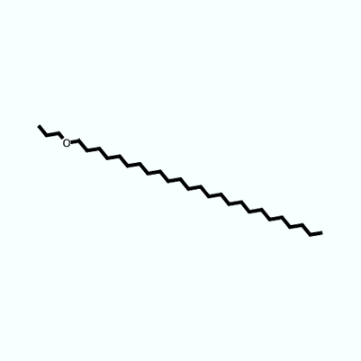 CCCCCCCCCCCCCCCCCCCCCCCC[CH]OCCC